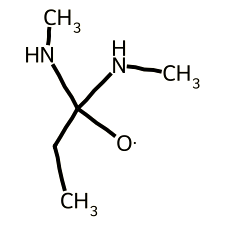 CCC([O])(NC)NC